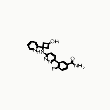 NC(=O)c1ccc(F)c(-c2ccc(NC3(c4ccccn4)CC(O)C3)nn2)c1